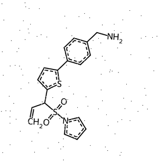 C=CC(c1ccc(-c2ccc(CN)cc2)s1)S(=O)(=O)n1cccc1